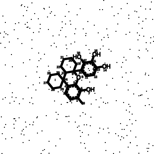 Cc1ccc2c(c1O)OC1(c3ccc(O)c(O)c3O)CCCCC1C21CCCCC1